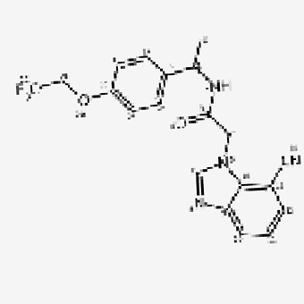 CC(NC(=O)Cn1cnc2cccc(C#N)c21)c1ccc(OCC(F)(F)F)cc1